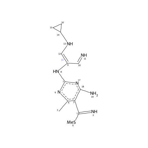 CSC(=N)c1c(C)nc(N/C(C=N)=C/NC2CC2)nc1N